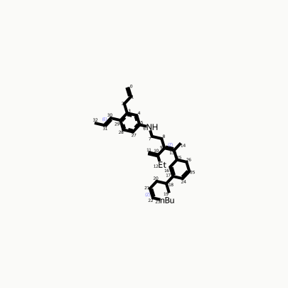 C=CCc1cc(NCC/C(C(=C)CC)=C(\C)C2C=C(C(C)C/C=C\CCCC)C=CC2)ccc1/C=C/C